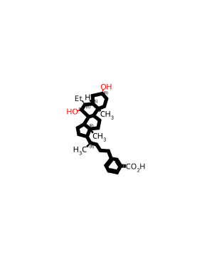 CC[C@H]1[C@@H](O)C2C3CCC([C@H](C)CCCc4cccc(C(=O)O)c4)[C@@]3(C)CCC2[C@@]2(C)CC[C@@H](O)C[C@@H]12